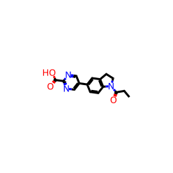 CCC(=O)N1CCc2cc(-c3cnc(C(=O)O)nc3)ccc21